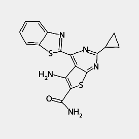 NC(=O)c1sc2nc(C3CC3)nc(-c3nc4ccccc4s3)c2c1N